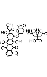 COc1cccc2c1C(=O)c1c(O)c3c(c(O)c1C2=O)C[C@@](O)(C(=O)CO)C[C@@H]3OC1CC(NOC(=O)CC(O)(CC(=O)O)C(=O)O)C(O)C(C)O1